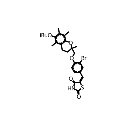 Cc1c(C)c2c(c(C)c1OCC(C)C)CCC(C)(COc1ccc(/C=C3/SC(=O)NC3=O)cc1Br)O2